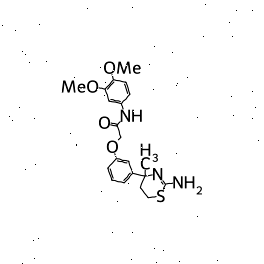 COc1ccc(NC(=O)COc2cccc(C3(C)CCSC(N)=N3)c2)cc1OC